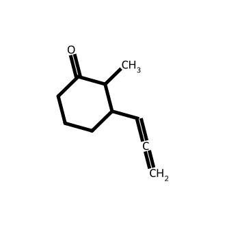 C=C=CC1CCCC(=O)C1C